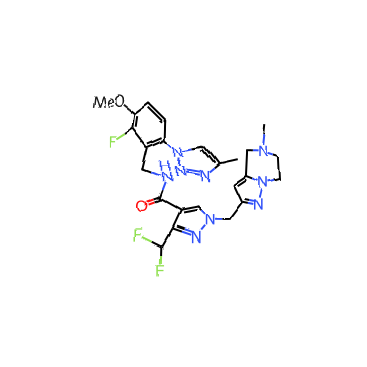 COc1ccc(-n2cc(C)nn2)c(CNC(=O)c2cn(Cc3cc4n(n3)CCN(C)C4)nc2C(F)F)c1F